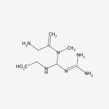 C=C(CN)N(C)C(N=C(N)N)NCC(=O)O